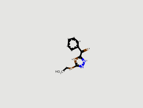 O=C(O)CSc1nnc(C(=S)c2ccccc2)s1